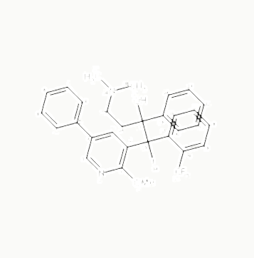 COc1ncc(-c2ccccc2)cc1C(I)(c1ccccc1C(F)(F)F)C(O)(CCN(C)C)c1ccccc1